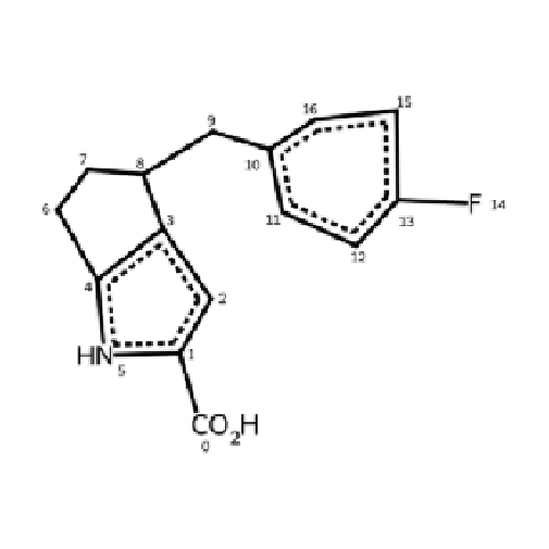 O=C(O)c1cc2c([nH]1)CCC2Cc1ccc(F)cc1